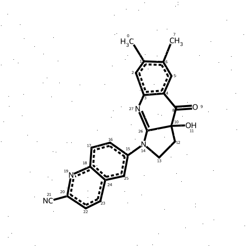 Cc1cc2c(cc1C)C(=O)C1(O)CCN(c3ccc4nc(C#N)ccc4c3)C1=N2